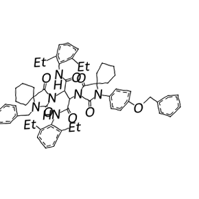 CCc1cccc(CC)c1NC(=O)C(C(C(=O)Nc1c(CC)cccc1CC)N1C(=O)N(c2ccc(OCc3ccccc3)cc2)C2(CCCCC2)C1=O)N1C(=O)N(Cc2ccccc2)C2(CCCCC2)C1=O